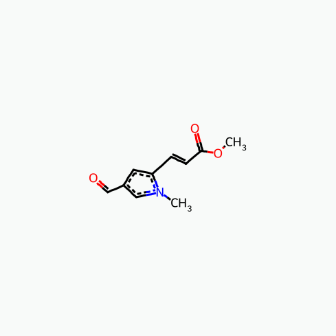 COC(=O)/C=C/c1cc(C=O)cn1C